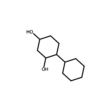 OC1CCC(C2CCCCC2)C(O)C1